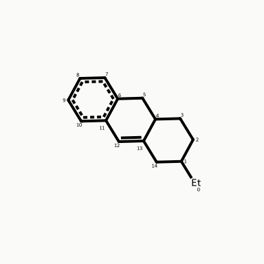 CCC1CCC2Cc3ccccc3C=C2C1